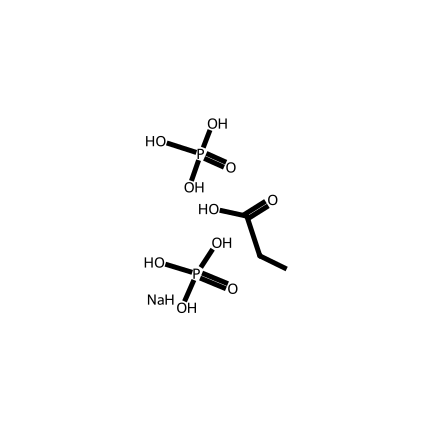 CCC(=O)O.O=P(O)(O)O.O=P(O)(O)O.[NaH]